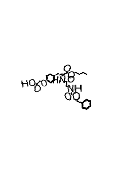 CCCCOC(=O)[C@H](Cc1ccc(OCC(=O)O)cc1)NC(=O)CNC(=O)OCc1ccccc1